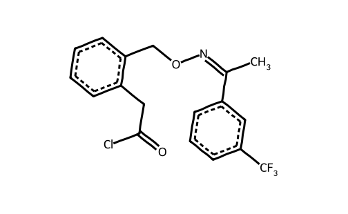 CC(=NOCc1ccccc1CC(=O)Cl)c1cccc(C(F)(F)F)c1